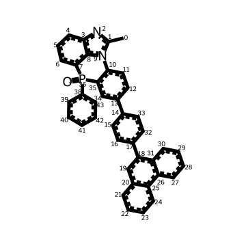 Cc1nc2cccc3c2n1-c1ccc(-c2ccc(-c4cc5ccccc5c5ccccc45)cc2)cc1P3(=O)c1ccccc1